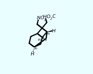 O=C(O)CC1(C[N+](=O)[O-])C2CC[C@@H]3C[C@H]2[C@H]1C3